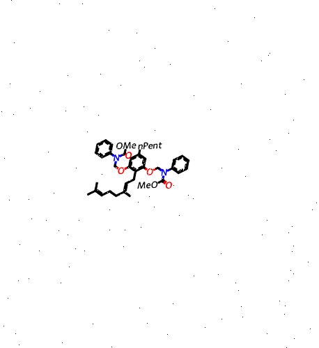 CCCCCc1cc(OCN(C(=O)OC)c2ccccc2)c(C/C=C(\C)CCC=C(C)C)c(OCN(C(=O)OC)c2ccccc2)c1